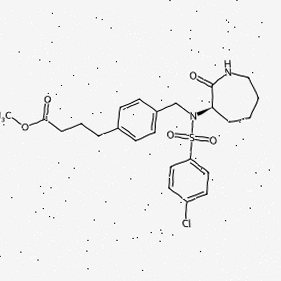 COC(=O)CCCc1ccc(CN([C@@H]2CCCCNC2=O)S(=O)(=O)c2ccc(Cl)cc2)cc1